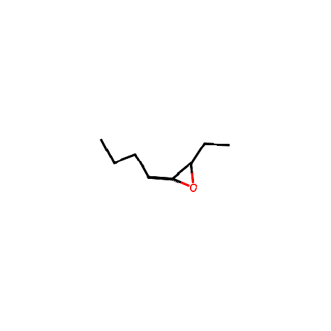 CCCCC1OC1CC